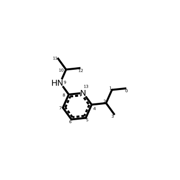 CCC(C)c1cccc(NC(C)C)n1